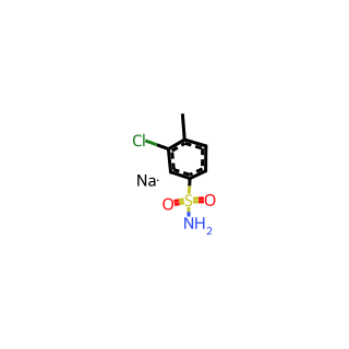 Cc1ccc(S(N)(=O)=O)cc1Cl.[Na]